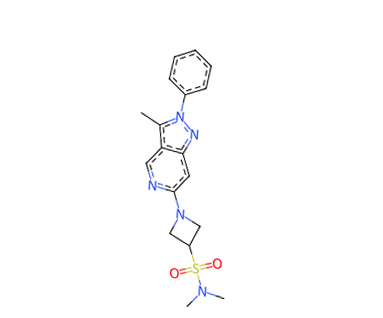 Cc1c2cnc(N3CC(S(=O)(=O)N(C)C)C3)cc2nn1-c1ccccc1